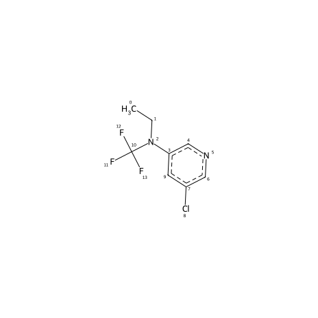 CCN(c1cncc(Cl)c1)C(F)(F)F